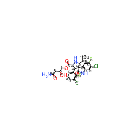 CC(C)(C)CC1NC(C(=O)OCC(O)CC(N)=O)C(c2cccc(Cl)c2F)C12C(=O)Nc1cc(Cl)c(F)cc12